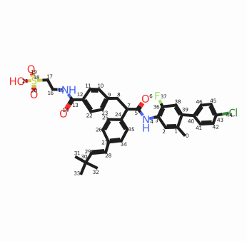 Cc1cc(NC(=O)C(Cc2ccc(C(=O)NCCS(=O)(=O)O)cc2)c2ccc(/C=C/C(C)(C)C)cc2)c(F)cc1-c1ccc(Cl)cc1